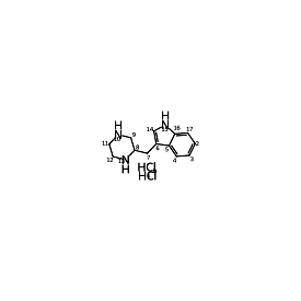 Cl.Cl.c1ccc2c(CC3CNCCN3)c[nH]c2c1